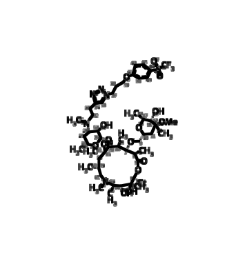 CC[C@H]1OC(=O)[C@H](C)[C@@H](OC[C@H]2C[C@@](C)(OC)[C@@H](O)[C@H](C)O2)[C@H](C)[C@@H](O[C@@H]2O[C@H](C)C[C@H](N(C)CCc3cn(CCCOc4ccc(S(=O)(=O)C(F)(F)F)cc4)nn3)[C@H]2O)[C@](C)(O)C[C@@H](C)CN(C)[C@H](C)[C@@H](O)[C@]1(C)O